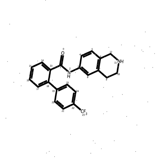 O=C(Nc1ccc2c(c1)CCNC2)c1ccccc1-c1ccc(C(F)(F)F)cc1